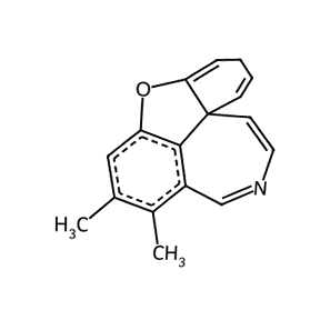 Cc1cc2c3c(c1C)C=NC=CC31C=CCC=C1O2